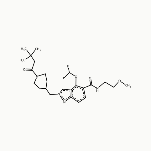 COCCNC(=O)c1ccc2nn(CC3CCN(C(=O)CC(C)(C)C)CC3)cc2c1OC(F)F